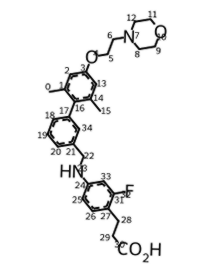 Cc1cc(OCCN2CCOCC2)cc(C)c1-c1cccc(CNc2ccc(CCC(=O)O)c(F)c2)c1